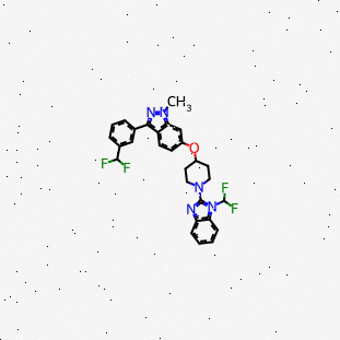 Cn1nc(-c2cccc(C(F)F)c2)c2ccc(OC3CCN(c4nc5ccccc5n4C(F)F)CC3)cc21